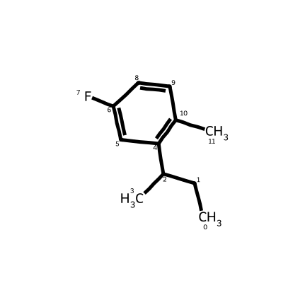 CCC(C)c1cc(F)ccc1C